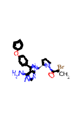 C=C(Br)C(=O)N1CCC[C@H]1Cn1nc(-c2ccc(Oc3ccccc3)cc2)c2c(N)ncnc21